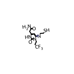 NC(=O)Cc1c/c(=N\CCS)n(CCC(F)(F)F)c(=O)[nH]1